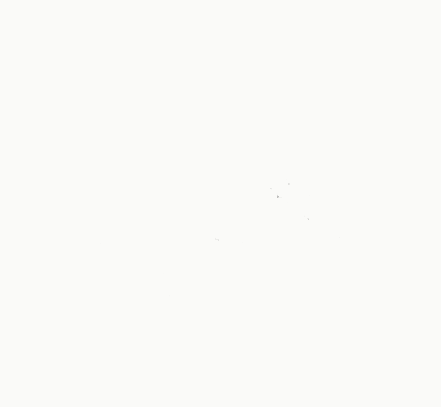 CN1CC[C@]23C[C@@H](C(=O)NCc4ccc(Cl)cc4Cl)C[C@@]2(O)[C@H]1Cc1ccc(O)cc13